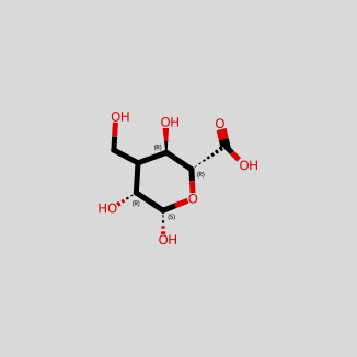 O=C(O)[C@@H]1O[C@H](O)[C@H](O)C(CO)[C@H]1O